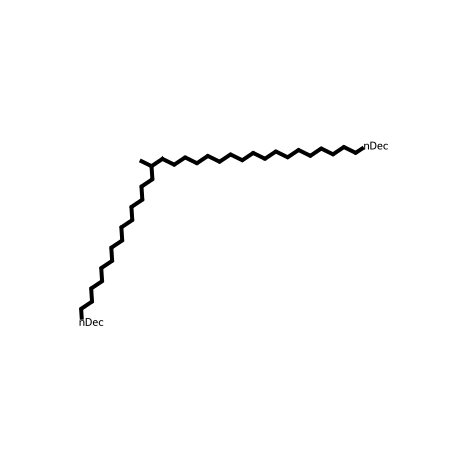 CCCCCCCCCCCCCCCCCCCCCCCCCCC[CH]C(C)CCCCCCCCCCCCCCCCCCCCCCCC